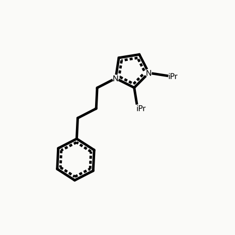 CC(C)c1n(C(C)C)cc[n+]1CCCc1ccccc1